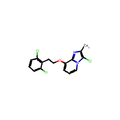 Cc1nc2c(OCCc3c(Cl)cccc3Cl)cccn2c1Cl